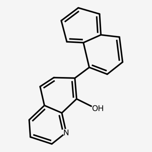 Oc1c(-c2cccc3ccccc23)ccc2cccnc12